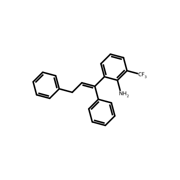 Nc1c(C(=CCc2ccccc2)c2ccccc2)cccc1C(F)(F)F